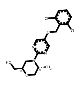 C[C@@H]1CO[C@@H](CO)CN1c1ncc(OCc2c(Cl)cccc2Cl)cn1